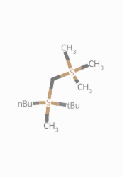 CCCCS(C)(CS(C)(C)C)C(C)(C)C